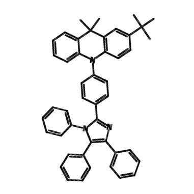 CC(C)(C)c1ccc2c(c1)C(C)(C)c1ccccc1N2c1ccc(-c2nc(-c3ccccc3)c(-c3ccccc3)n2-c2ccccc2)cc1